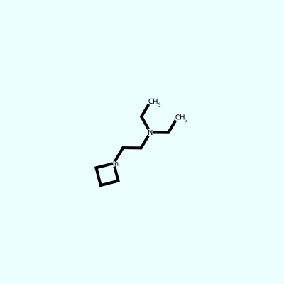 CCN(CC)C[CH2][In]1[CH2]C[CH2]1